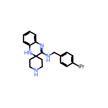 CC(C)c1ccc(CNC2=Nc3ccccc3NC23CCNCC3)cc1